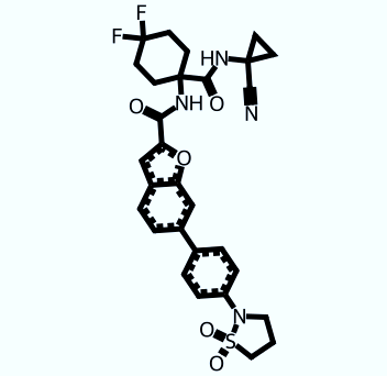 N#CC1(NC(=O)C2(NC(=O)c3cc4ccc(-c5ccc(N6CCCS6(=O)=O)cc5)cc4o3)CCC(F)(F)CC2)CC1